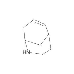 C1=CC2CCNC(C1)C2